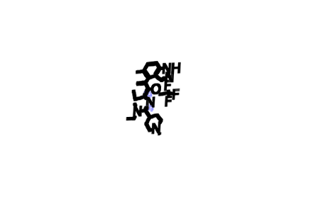 C=C(/C(OCC(F)(F)F)=C(CC)/N=C(/C1CCN(C)CC1)N(C)CC)c1c(C)ccc2[nH]ncc12